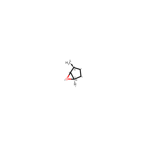 C[C@H]1CC[C@H]2OC12